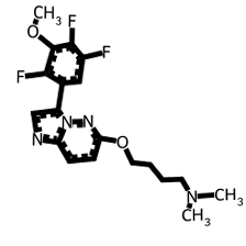 COc1c(F)c(F)cc(-c2cnc3ccc(OCCCCN(C)C)nn23)c1F